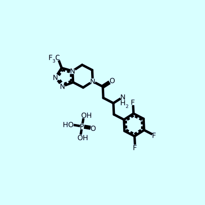 NC(CC(=O)N1CCn2c(nnc2C(F)(F)F)C1)Cc1cc(F)c(F)cc1F.O=P(O)(O)O